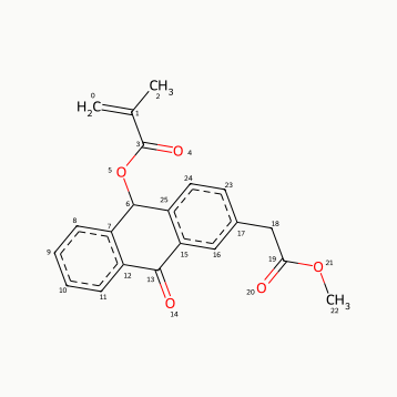 C=C(C)C(=O)OC1c2ccccc2C(=O)c2cc(CC(=O)OC)ccc21